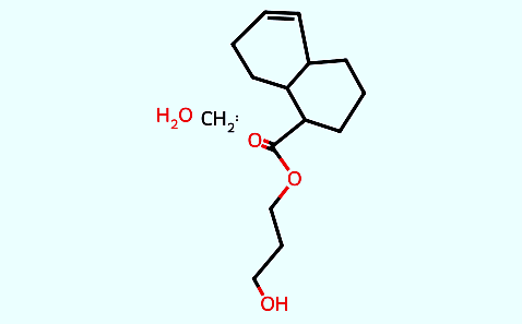 O.O=C(OCCCO)C1CCCC2C=CCCC21.[CH2]